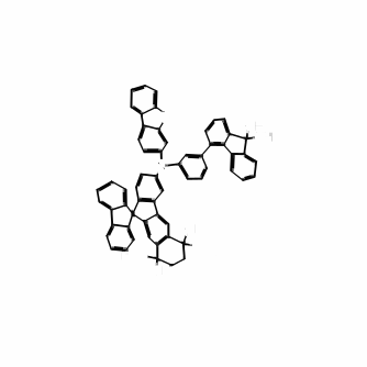 CC1(C)CCC(C)(C)c2cc3c(cc21)-c1cc(N(c2cccc(-c4cccc5c4-c4ccccc4C5(C)C)c2)c2ccc4c(c2)sc2ccccc24)ccc1C31c2ccccc2-c2ccccc21